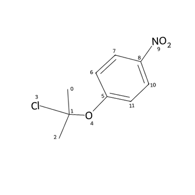 CC(C)(Cl)Oc1ccc([N+](=O)[O-])cc1